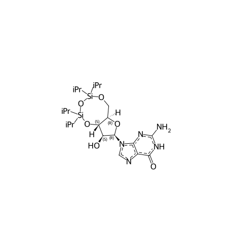 CC(C)[Si]1(C(C)C)OC[C@H]2O[C@@H](n3cnc4c(=O)[nH]c(N)nc43)[C@@H](O)[C@@H]2O[Si](C(C)C)(C(C)C)O1